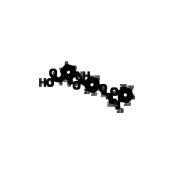 Cc1c(CC(=O)O)cccc1NC(=O)c1ccc(OC[C@@H]2CN(C)c3ccccc3O2)cc1